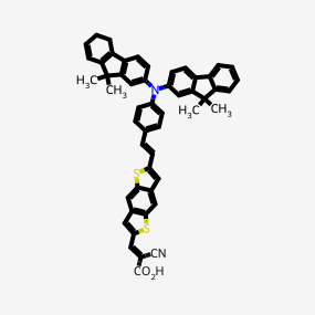 CC1(C)C2=C(CCC=C2)c2ccc(N(c3ccc(/C=C/c4cc5cc6sc(/C=C(\C#N)C(=O)O)cc6cc5s4)cc3)c3ccc4c(c3)C(C)(C)c3ccccc3-4)cc21